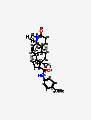 COc1ccc(NC(=O)C2CC[C@H]3[C@@H]4CC[C@H]5N(C)C(=O)CC[C@]5(C)[C@H]4CC[C@]23C)cc1